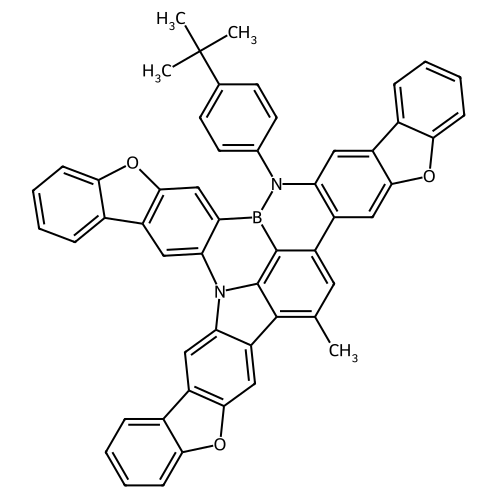 Cc1cc2c3c4c1c1cc5oc6ccccc6c5cc1n4-c1cc4c(cc1B3N(c1ccc(C(C)(C)C)cc1)c1cc3c(cc1-2)oc1ccccc13)oc1ccccc14